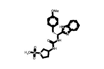 COc1ccc(C[C@@H](NC(=O)NC2CCN(S(C)(=O)=O)C2)c2nc3ccccc3[nH]2)cc1